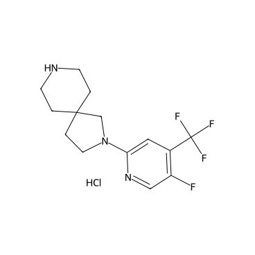 Cl.Fc1cnc(N2CCC3(CCNCC3)C2)cc1C(F)(F)F